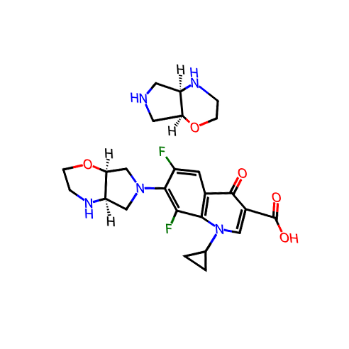 C1CO[C@H]2CNC[C@H]2N1.O=C(O)c1cn(C2CC2)c2c(F)c(N3C[C@@H]4OCCN[C@@H]4C3)c(F)cc2c1=O